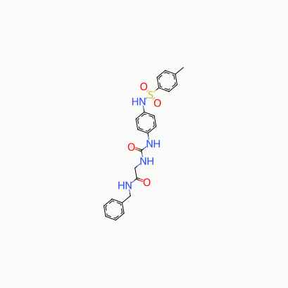 Cc1ccc(S(=O)(=O)Nc2ccc(NC(=O)NCC(=O)NCc3ccccc3)cc2)cc1